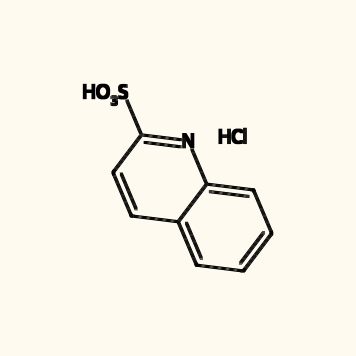 Cl.O=S(=O)(O)c1ccc2ccccc2n1